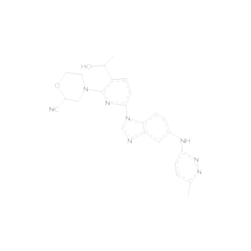 Cc1ccc(Nc2ccc3c(c2)ncn3-c2ccc(C(C)O)c(N3CCOC(C#N)C3)n2)nn1